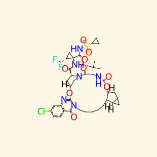 CC(C)(C)[C@@H]1NC(=O)O[C@@H]2CC3C[C@@H]3[C@H]2CCCCCn2c(nc3cc(Cl)ccc3c2=O)O[C@@H]2C[C@@H](C(=O)N[C@]3(C(=O)NS(=O)(=O)C4CC4)C[C@H]3C(F)F)N(C2)C1=O